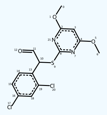 COc1cc(OC)nc(SC(C=O)c2ccc(Cl)cc2Cl)n1